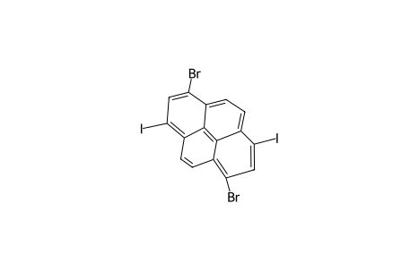 Brc1cc(I)c2ccc3c(Br)cc(I)c4ccc1c2c34